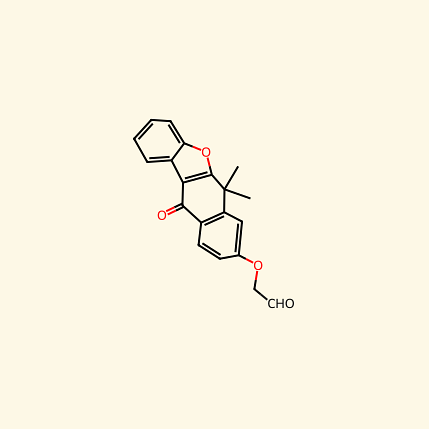 CC1(C)c2cc(OCC=O)ccc2C(=O)c2c1oc1ccccc21